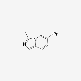 Cc1ncc2ccc(C(C)C)cn12